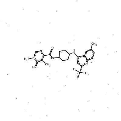 Bn1cnc(C(=O)NC2CCC(Nc3cc(C(F)(F)P)nc4ccc(C)cc34)CC2)c(C)c1=N